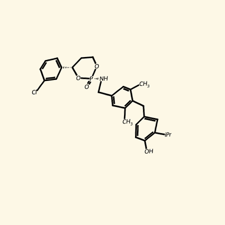 Cc1cc(CN[P@@]2(=O)OCC[C@@H](c3cccc(Cl)c3)O2)cc(C)c1Cc1ccc(O)c(C(C)C)c1